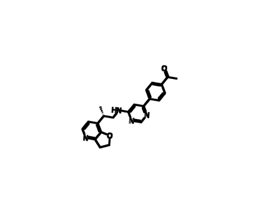 CC(=O)c1ccc(-c2cc(NC[C@@H](C)c3ccnc4c3OCC4)ncn2)cc1